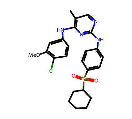 COc1cc(Nc2nc(Nc3ccc(S(=O)(=O)C4CCCCC4)cc3)ncc2C)ccc1Cl